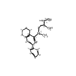 CN(CC(O)NC(C)(C)C)c1nc(-c2ccccn2)nc2c1CCCC2